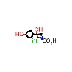 O=C(O)N1CC(O)(c2ccc(O)cc2Cl)C1